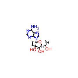 [2H]C(O)[C@H]1O[C@]2(n3cnc4c(N)ncnc43)C=C[C@@]2(O)[C@@H]1O